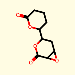 O=C1CCCC(C2CC3OC3C(=O)O2)O1